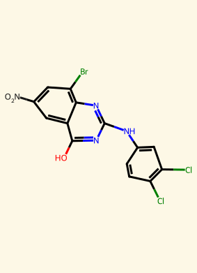 O=[N+]([O-])c1cc(Br)c2nc(Nc3ccc(Cl)c(Cl)c3)nc(O)c2c1